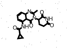 CC1=NC2C=CC=C(NC(=O)C3CC3)C2C(=O)N1C1CCC(=O)NC1=O